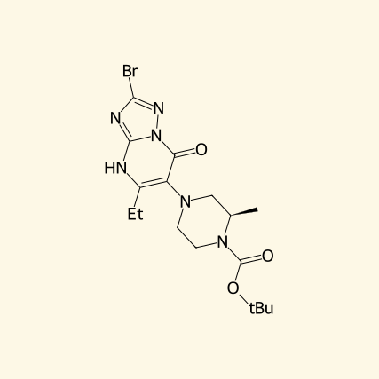 CCc1[nH]c2nc(Br)nn2c(=O)c1N1CCN(C(=O)OC(C)(C)C)[C@H](C)C1